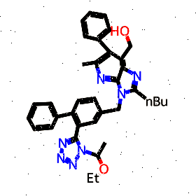 CCCCc1nc2c(CO)c(-c3ccccc3)c(C)nc2n1Cc1ccc(-c2ccccc2)c(-c2nnnn2C(C)OCC)c1